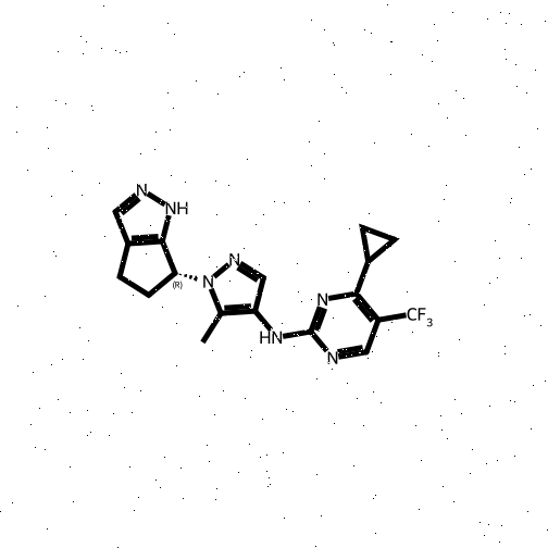 Cc1c(Nc2ncc(C(F)(F)F)c(C3CC3)n2)cnn1[C@@H]1CCc2cn[nH]c21